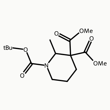 COC(=O)C1(C(=O)OC)CCCN(C(=O)OC(C)(C)C)C1C